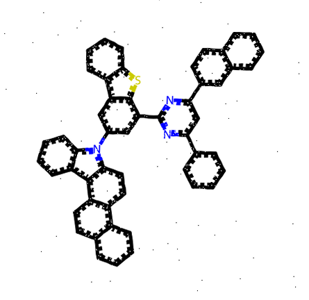 c1ccc(-c2cc(-c3ccc4ccccc4c3)nc(-c3cc(-n4c5ccccc5c5c6ccc7ccccc7c6ccc54)cc4c3sc3ccccc34)n2)cc1